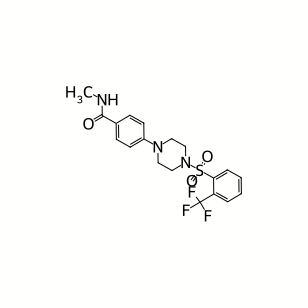 CNC(=O)c1ccc(N2CCN(S(=O)(=O)c3ccccc3C(F)(F)F)CC2)cc1